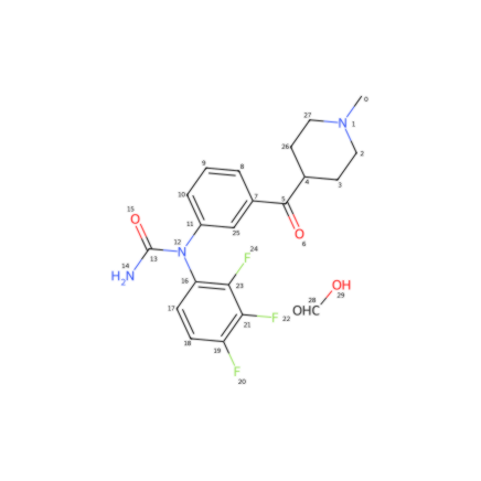 CN1CCC(C(=O)c2cccc(N(C(N)=O)c3ccc(F)c(F)c3F)c2)CC1.O=CO